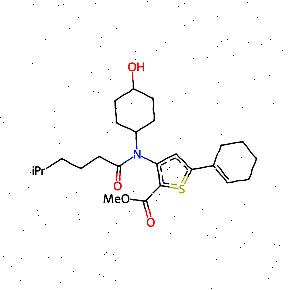 COC(=O)c1sc(C2=CCCCC2)cc1N(C(=O)CCCC(C)C)C1CCC(O)CC1